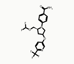 NC(=O)c1ccc(N2CC(Oc3ccc(C(F)(F)F)nc3)C[C@H]2COC(F)F)cc1